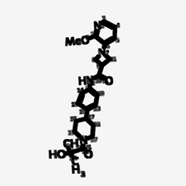 COc1ncccc1N1CC(C(=O)Nc2ccc(C3CCN(C(=O)C(C)(C)O)CC3)cc2)C1